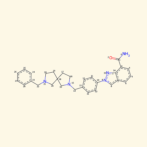 NC(=O)c1cccc2cn(-c3ccc(CN4CCC5(CCN(Cc6ccccc6)C5)C4)cc3)nc12